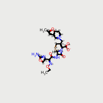 CCON=C(C(=O)NC1C(=O)N2C(C(=O)[O-])=C(C[n+]3ccc4oc(C)cc4c3)CS[C@@H]12)c1coc(N)n1